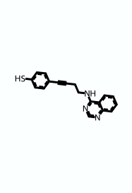 Sc1ccc(C#CCCNc2ncnc3ccccc23)cc1